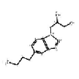 CCCCc1ccc2c(c1)nnn2CC(C)CC